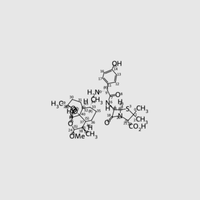 CC1(C)S[C@@H]2[C@H](NC(=O)[C@H](N)c3ccc(O)cc3)C(=O)N2[C@H]1C(=O)O.CO[C@H]1O[C@@H]2O[C@]3(C)CC[C@H]4[C@H](C)CC[C@@H]([C@H]1C)C24OO3